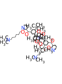 CN(C)CCCCCCOc1ncccc1C(=O)c1cc(C(C)(C)C)c(OC(=O)/C=C/C(=O)Oc2c(C(C)(C)C)cc(C(=O)c3cccnc3OCCCCCCN(C)C)cc2C(C)(C)C)c(C(C)(C)C)c1